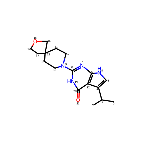 CC(C)c1c[nH]c2nc(N3CCC4(CCOC4)CC3)[nH]c(=O)c12